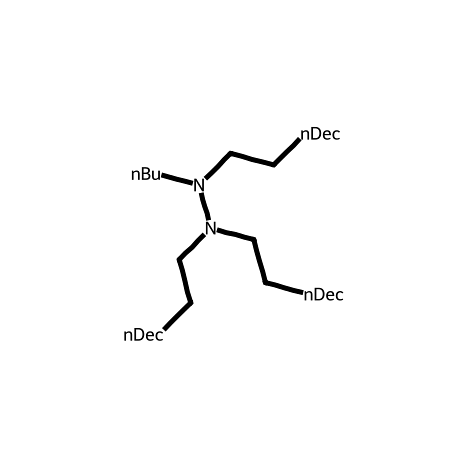 CCCCCCCCCCCCN(CCCC)N(CCCCCCCCCCCC)CCCCCCCCCCCC